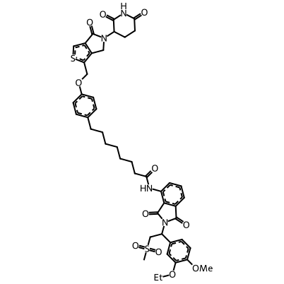 CCOc1cc(C(CS(C)(=O)=O)N2C(=O)c3cccc(NC(=O)CCCCCCCc4ccc(OCc5scc6c5CN(C5CCC(=O)NC5=O)C6=O)cc4)c3C2=O)ccc1OC